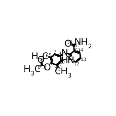 CC(=O)Oc1c(C)cc(Nc2ncccc2C(N)=O)cc1C